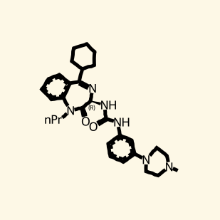 CCCN1C(=O)[C@H](NC(=O)Nc2cccc(N3CCN(C)CC3)c2)N=C(C2CCCCC2)c2ccccc21